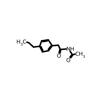 CCCc1ccc(CC(=O)NC(C)=O)cc1